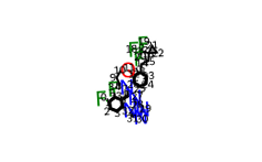 Fc1ccc2c(c(N3CCCOc4c(CCC5(C(F)(F)F)CC5)cccc43)nc3nncn32)c1F